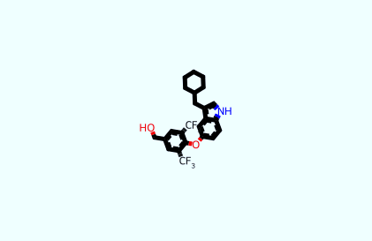 OCc1cc(C(F)(F)F)c(Oc2ccc3[nH]cc(CC4CCCCC4)c3c2)c(C(F)(F)F)c1